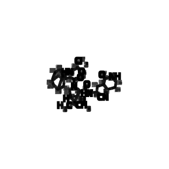 CC1(C)[C@@H]2[C@@H](C(=O)N[C@H](C#N)CC3CCCNC3=O)N(C(=O)C(NC(=O)C(F)(F)F)C34CC5CC(CC(C5)C3)C4)C[C@@H]21